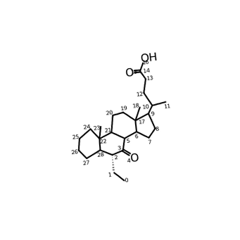 CC[C@H]1C(=O)C2C3CCC(C(C)CCC(=O)O)C3(C)CCC2C2(C)CCCCC12